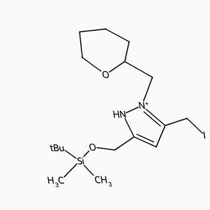 CC(C)(C)[Si](C)(C)OCc1cc(CI)[n+](CC2CCCCO2)[nH]1